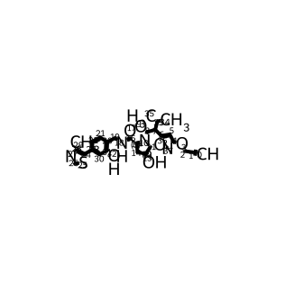 C#CCOc1cc(C(C(=O)N2C[C@H](O)C[C@H]2C(=O)NCc2ccc(-c3scnc3C)cc2O)C(C)C)on1